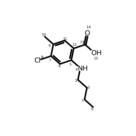 CCCCNc1cc(Cl)c(C)cc1C(=O)O